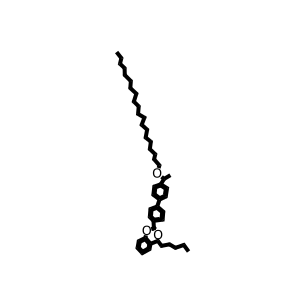 CCCCCCCCCCCCCCCCCCCCOC(C)c1ccc(-c2ccc(C(=O)Oc3ccccc3CCCCCC)cc2)cc1